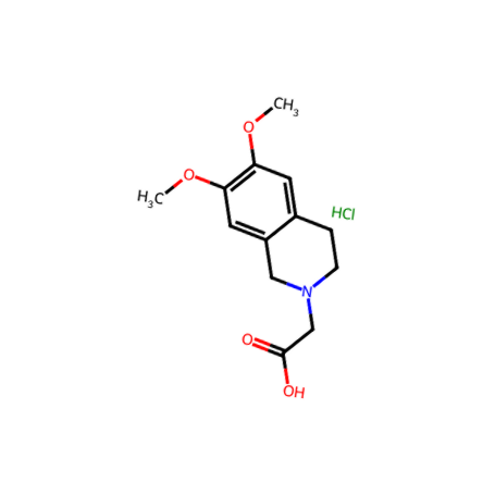 COc1cc2c(cc1OC)CN(CC(=O)O)CC2.Cl